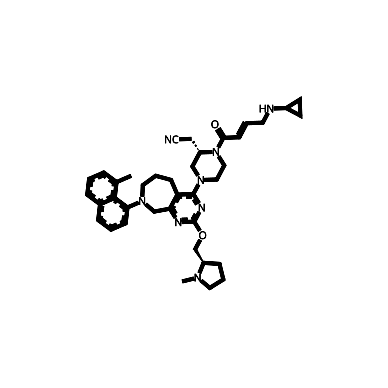 Cc1cccc2cccc(N3CCCc4c(nc(OC[C@H]5CCCN5C)nc4N4CCN(C(=O)/C=C/CNC5CC5)[C@@H](CC#N)C4)C3)c12